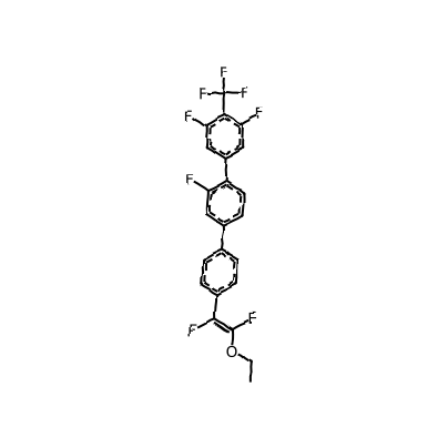 CCO/C(F)=C(\F)c1ccc(-c2ccc(-c3cc(F)c(C(F)(F)F)c(F)c3)c(F)c2)cc1